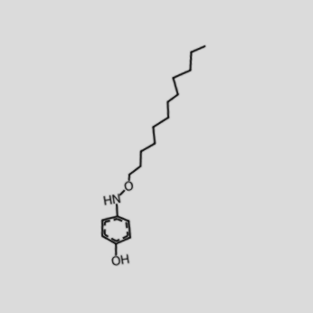 CCCCCCCCCCCCONc1ccc(O)cc1